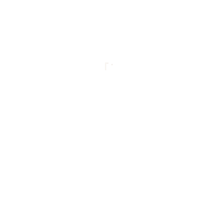 O=C([S])CBr